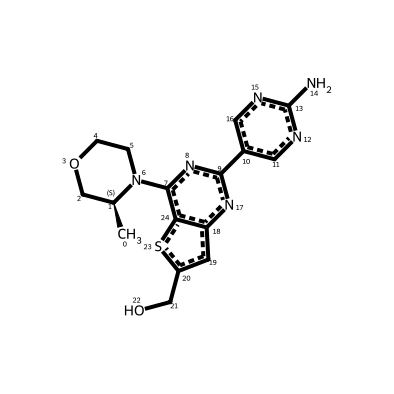 C[C@H]1COCCN1c1nc(-c2cnc(N)nc2)nc2cc(CO)sc12